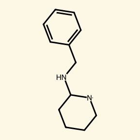 c1ccc(CNC2CCCC[N]2)cc1